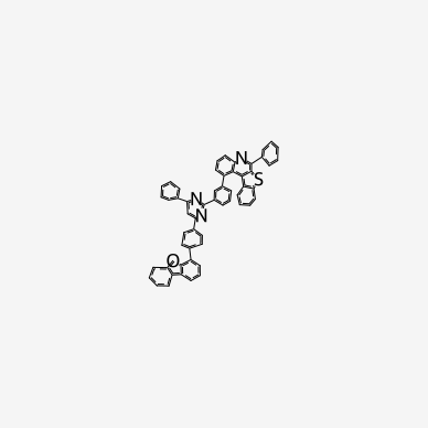 c1ccc(-c2cc(-c3ccc(-c4cccc5c4oc4ccccc45)cc3)nc(-c3cccc(-c4cccc5nc(-c6ccccc6)c6sc7ccccc7c6c45)c3)n2)cc1